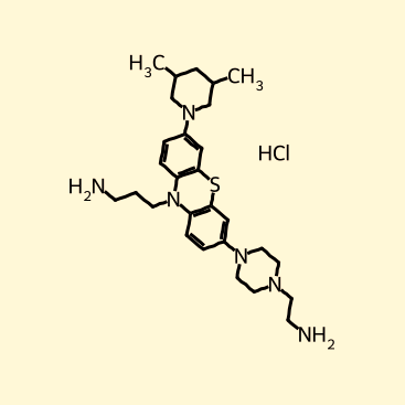 CC1CC(C)CN(c2ccc3c(c2)Sc2cc(N4CCN(CCN)CC4)ccc2N3CCCN)C1.Cl